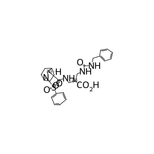 O=C(NCc1ccccc1)NC[C@H](CNC(=O)[C@@H]1C2CCC(CC2)N1S(=O)(=O)c1ccccc1)C(=O)O